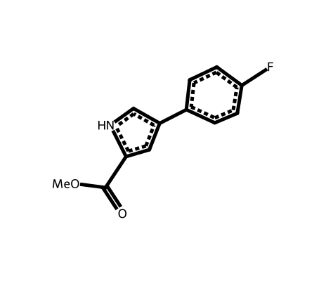 COC(=O)c1cc(-c2ccc(F)cc2)c[nH]1